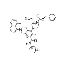 Cc1c(C(=O)N[C@H](C)CN(C)C)nc2c(c1N1CCN(C(=O)OCc3ccccc3)[C@@H](CC#N)C1)CCN(c1cccc3cccc(C)c13)C2